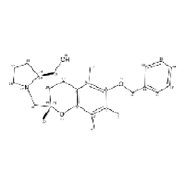 Cc1c(C)c2c(c(C)c1OCc1ccccc1)CC[C@@](C)(CN1CCC[C@H]1CO)O2